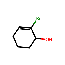 OC1CCCC=C1Br